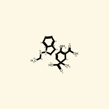 CC1(C(=O)O)C=CC(N)=C(C(=O)O)C1.CCON1CCc2ccccc21